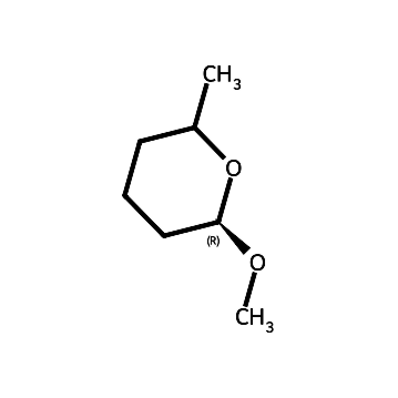 CO[C@H]1CCCC(C)O1